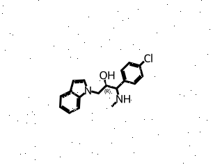 CNC(c1ccc(Cl)cc1)[C@H](O)Cn1ccc2ccccc21